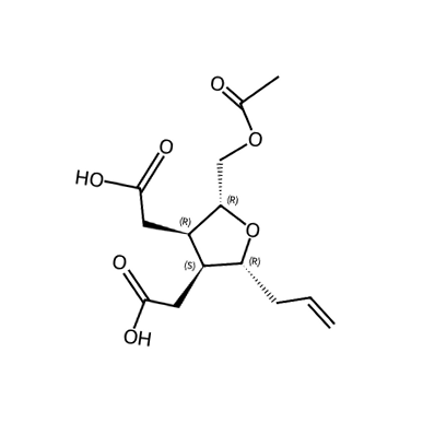 C=CC[C@H]1O[C@@H](COC(C)=O)[C@H](CC(=O)O)[C@@H]1CC(=O)O